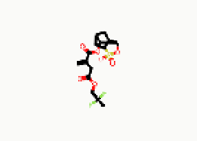 C=C(CC(=O)OCC(C)(F)F)C(=O)OC1C2CC3C1OS(=O)(=O)C3C2